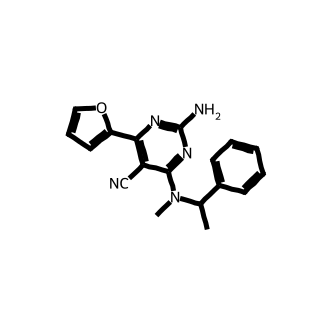 CC(c1ccccc1)N(C)c1nc(N)nc(-c2ccco2)c1C#N